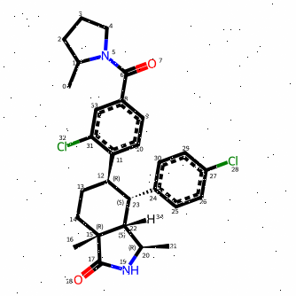 CC1CCCN1C(=O)c1ccc([C@@H]2CC[C@@]3(C)C(=O)N[C@H](C)[C@H]3[C@H]2c2ccc(Cl)cc2)c(Cl)c1